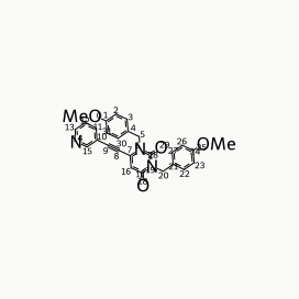 COc1ccc(Cn2c(C#Cc3cccnc3)cc(=O)n(Cc3ccc(OC)cc3)c2=O)cc1